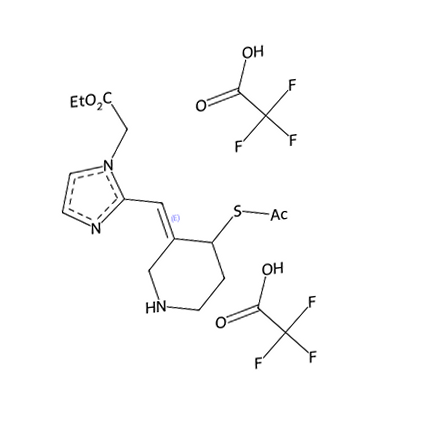 CCOC(=O)Cn1ccnc1/C=C1\CNCCC1SC(C)=O.O=C(O)C(F)(F)F.O=C(O)C(F)(F)F